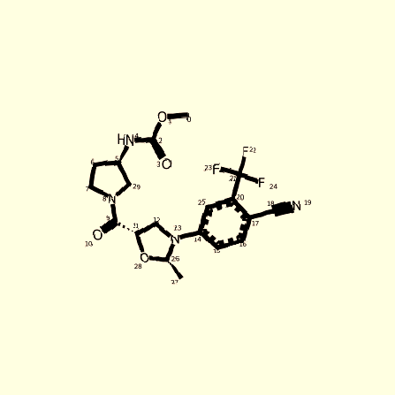 COC(=O)N[C@@H]1CCN(C(=O)[C@@H]2CN(c3ccc(C#N)c(C(F)(F)F)c3)[C@@H](C)O2)C1